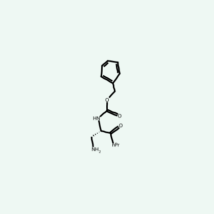 CCCC(=O)[C@H](CN)NC(=O)OCc1ccccc1